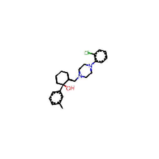 Cc1cccc(C2(O)CCCCC2CN2CCN(c3ccccc3Cl)CC2)c1